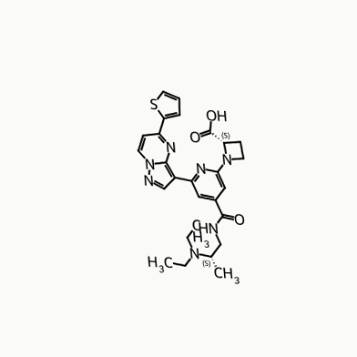 CCN(CC)[C@@H](C)CNC(=O)c1cc(-c2cnn3ccc(-c4cccs4)nc23)nc(N2CC[C@H]2C(=O)O)c1